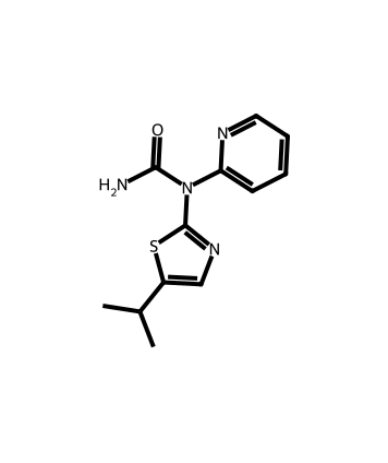 CC(C)c1cnc(N(C(N)=O)c2ccccn2)s1